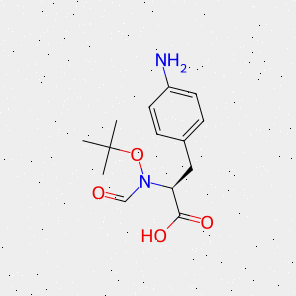 CC(C)(C)ON(C=O)[C@@H](Cc1ccc(N)cc1)C(=O)O